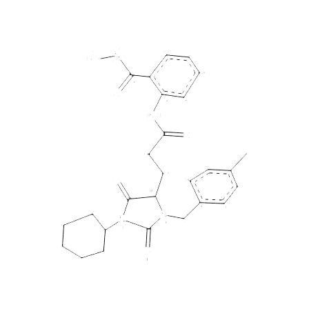 Cc1ccc(CN2C(=O)N(C3CCCCC3)C(=O)C2CCC(=O)Nc2ccccc2C(=O)NO)cc1